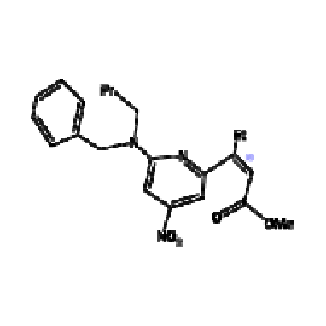 CC/C(=C/C(=O)OC)c1cc([N+](=O)[O-])cc(N(Cc2ccccc2)CC(C)C)n1